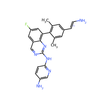 Cc1cc(/C=C/N)cc(C)c1-c1cc(F)cc2cnc(Nc3ccc(N)cn3)nc12